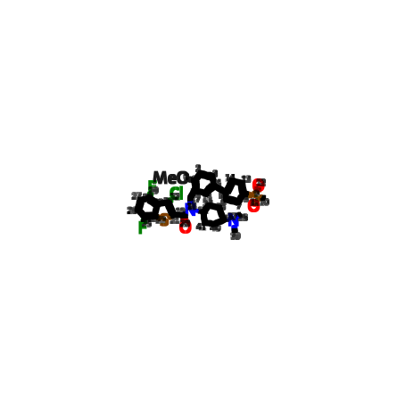 COc1ccc(-c2ccc(S(C)(=O)=O)cc2)cc1CN(C(=O)c1sc2c(F)ccc(F)c2c1Cl)[C@H]1CC[C@H](N(C)C)CC1